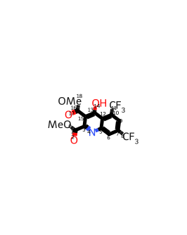 COC(=O)c1nc2cc(C(F)(F)F)cc(C(F)(F)F)c2c(O)c1C(=O)OC